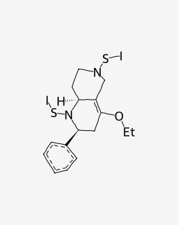 CCOC1=C2CN(SI)CC[C@@H]2N(SI)[C@H](c2ccccc2)C1